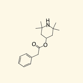 CC1(C)CC(OC(=O)Cc2ccccc2)CC(C)(C)N1